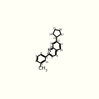 Cc1cccc(-c2ccc3ccc(C4CCCC4)cc3n2)c1